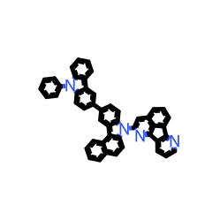 c1ccc(-n2c3ccccc3c3cc(-c4ccc5c(c4)c4c6ccccc6ccc4n5-c4cc5cccc6c5c(n4)-c4cccnc4-6)ccc32)cc1